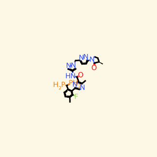 Cc1ccc(C(P)P)c(-c2cnc(C)c(C(=O)Nc3cnn(Cc4ccc(N5CC[C@@H](C)C5=O)nn4)c3)n2)c1F